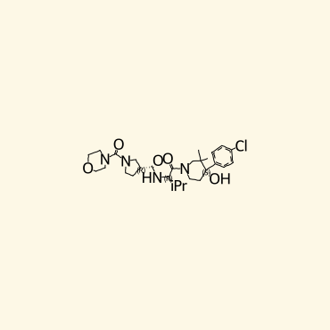 CC(C)[C@@H](NC(=O)[C@@H]1CCN(C(=O)N2CCOCC2)C1)C(=O)N1CC[C@](O)(c2ccc(Cl)cc2)C(C)(C)C1